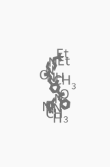 CCC(CC)CN1CCN(C(=O)NCc2ccc(C(=O)N3Cc4cnn(C)c4Nc4ccccc43)cc2C)CC1